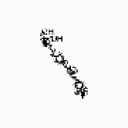 OCc1nnn(CCCCc2ccc(OCc3coc(/C=C/c4ccc(C(F)(F)F)cc4)n3)cc2)c1CO